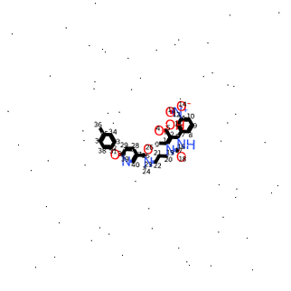 CC1=C(C(=O)O)C(c2cccc([N+](=O)[O-])c2)NC(=O)N1CCCN(C)C(=O)c1ccc(Oc2ccc(C)cc2)nc1